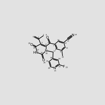 C=C(C)c1c(C(=O)c2cc(C)cc(C#N)c2)n(Cc2ccnc(F)c2)c(=O)[nH]c1=O